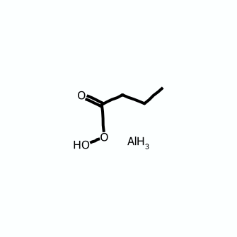 CCCC(=O)OO.[AlH3]